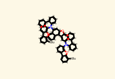 CC(C)(C)c1cccc2c1oc1c(N(c3ccc4oc5cc(N(c6ccccc6-c6ccccc6)c6cccc7c6oc6c(C(C)(C)C)cccc67)c6ccccc6c5c4c3)c3ccccc3-c3ccccc3)cccc12